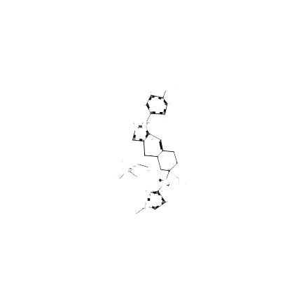 Cn1ccc(S(=O)(=O)[C@@]2(F)CCC3=Cc4c(cnn4-c4ccc(F)cc4)C[C@]3(CO[Si](C)(C)C(C)(C)C)C2)n1